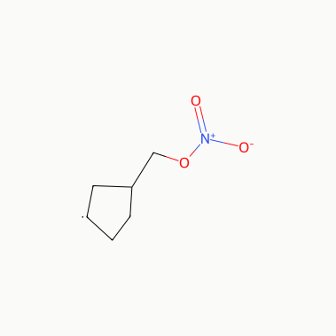 O=[N+]([O-])OCC1C[CH]CC1